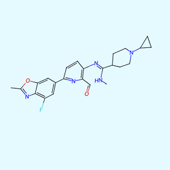 CN/C(=N\c1ccc(-c2cc(F)c3nc(C)oc3c2)nc1C=O)C1CCN(C2CC2)CC1